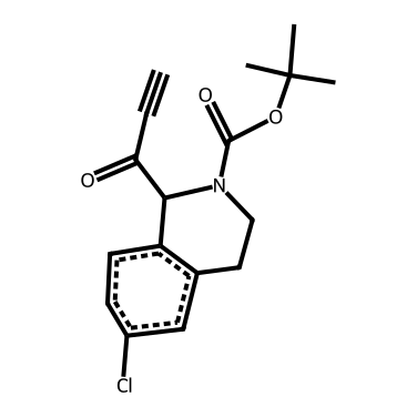 C#CC(=O)C1c2ccc(Cl)cc2CCN1C(=O)OC(C)(C)C